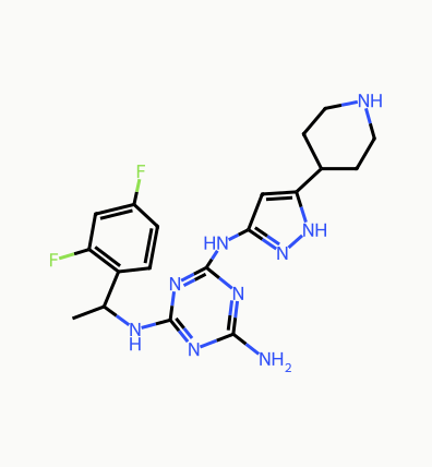 CC(Nc1nc(N)nc(Nc2cc(C3CCNCC3)[nH]n2)n1)c1ccc(F)cc1F